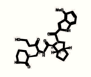 COc1cccc2[nH]c(C(=O)N3C[C@@H]4CCC[C@@H]4[C@H]3C(=O)N[C@@H](C[C@@H]3CCCNC3=O)C(=O)CCO)cc12